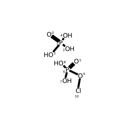 O=P(O)(O)O.O=P(O)(O)OCl